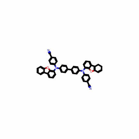 N#Cc1ccc(N(c2ccc(-c3ccc(N(c4ccc(C#N)cc4)c4cccc5c4oc4ccccc45)cc3)cc2)c2cccc3c4c(oc23)C=CCC4)cc1